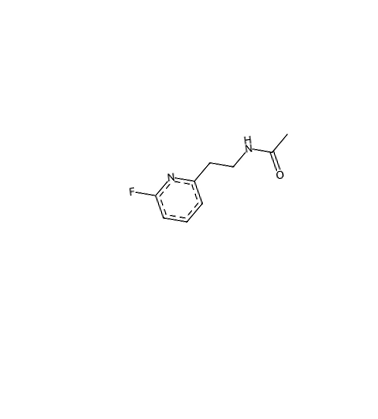 CC(=O)NCCc1cccc(F)n1